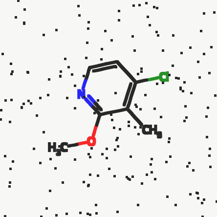 COc1nccc(Cl)c1C